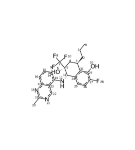 CCC[C@@H]1C[C@](O)(C(F)(F)F)[C@@H](Nc2cccc3nc(C)ncc23)c2ccc(F)c(O)c21